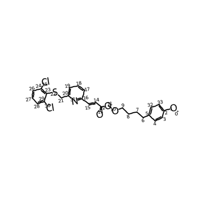 COc1ccc(CCCCOOC(=O)C=Cc2cccc(CSc3c(Cl)cccc3Cl)n2)cc1